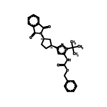 CC(C)(C)n1nc([C@H]2CC[C@@H](N3C(=O)c4ccccc4C3=O)C2)cc1NC(=O)OCc1ccccc1